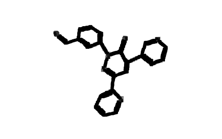 O=Cc1cccc(-n2nc(-c3ccccn3)cc(-c3cccnc3)c2=O)c1